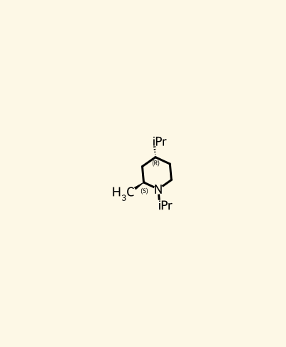 CC(C)[C@@H]1CCN(C(C)C)[C@@H](C)C1